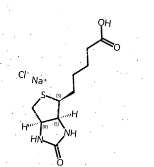 O=C(O)CCCC[C@@H]1SC[C@@H]2NC(=O)N[C@@H]21.[Cl-].[Na+]